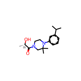 CC(C)c1cccc(N2CCN(C(=O)[C@H](C)O)CC2(C)C)c1